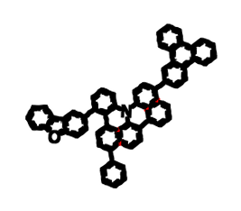 c1ccc(-c2ccc(-c3c(-c4ccc5oc6ccccc6c5c4)cccc3N(c3ccc(-c4ccc5c6ccccc6c6ccccc6c5c4)cc3)c3ccccc3-c3ccccc3)cc2)cc1